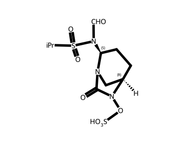 CC(C)S(=O)(=O)N(C=O)[C@H]1CC[C@@H]2CN1C(=O)N2OS(=O)(=O)O